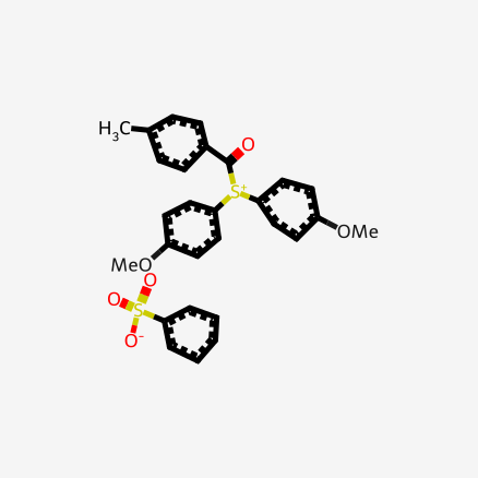 COc1ccc([S+](C(=O)c2ccc(C)cc2)c2ccc(OC)cc2)cc1.O=S(=O)([O-])c1ccccc1